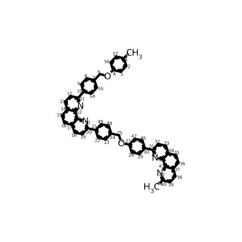 Cc1ccc(OCc2ccc(-c3ccc4ccc5ccc(-c6ccc(COc7ccc(-c8ccc9ccc%10ccc(C)nc%10c9n8)cc7)cc6)nc5c4n3)cc2)cc1